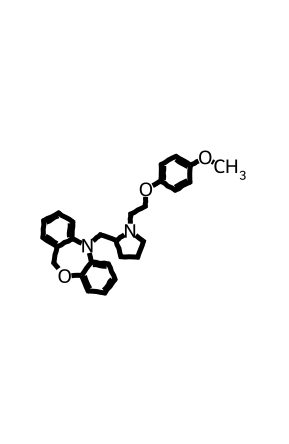 COc1ccc(OCCN2CCCC2CN2c3ccccc3COc3ccccc32)cc1